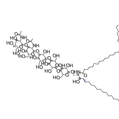 CCCCCCCC/C=C\CCCCCCCCCCCCCC(=O)N[C@@H](CO[C@@H]1OC(CO)[C@@H](O[C@@H]2OC(CO)[C@H](O[C@@H]3OC(CO)[C@H](O)[C@H](O[C@@H]4OC(CO)[C@H](O)[C@H](O[C@@H]5OC(CO)[C@H](O)[C@H](O)C5NC(C)=O)C4NC(C)=O)C3O)[C@H](O)C2O)[C@H](O)C1O)[C@H](O)/C=C/CCCCCCCCCCCCC